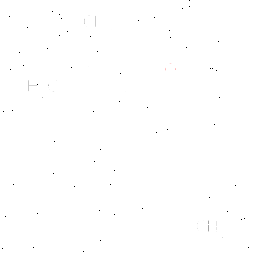 C=CC=CC(=O)C(=C)C